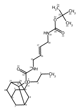 CCCOC12CC3CC(C1)C(OC(=O)NC/C=C/CNC(=O)OC(C)(C)C)C(C3)C2